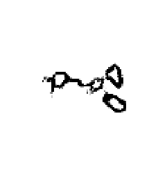 Fc1ccc(CCC2=N[C@H](c3ccccc3)[C@H](c3ccccc3)N2)cc1F